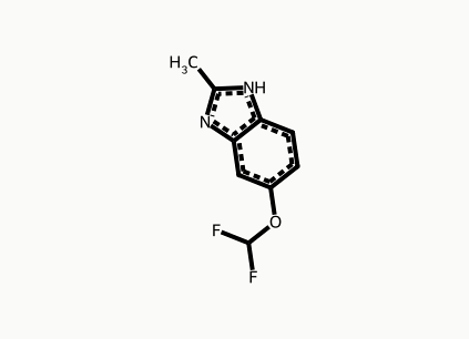 Cc1nc2cc(OC(F)F)ccc2[nH]1